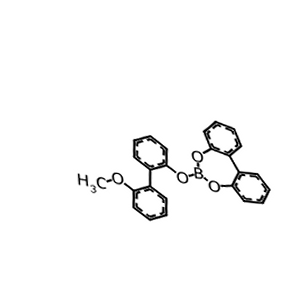 COc1ccccc1-c1ccccc1OB1Oc2ccccc2-c2ccccc2O1